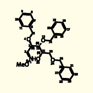 CON=C[C@@H](OCc1ccccc1)[C@H](OCc1ccccc1)[C@H](O)COCc1ccccc1